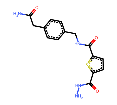 NNC(=O)c1ccc(C(=O)NCc2ccc(CC(N)=O)cc2)s1